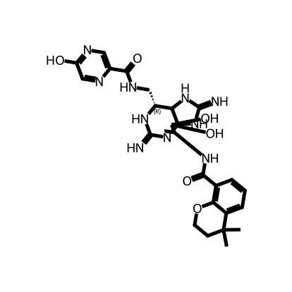 CC1(C)CCOc2c(C(=O)NC3CN4C(=N)N[C@H](CNC(=O)c5cnc(O)cn5)C5NC(=N)NC54C3(O)O)cccc21